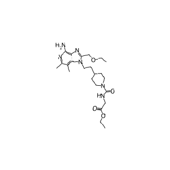 CCOCc1nc2c(N)nc(C)c(C)c2n1CCC1CCN(C(=O)NCC(=O)OCC)CC1